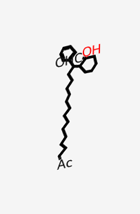 CC(=O)CCCCCCCCCCCCCC(c1ccccc1)C1CCCCC1(O)C=O